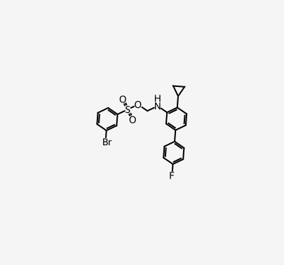 O=S(=O)(OCNc1cc(-c2ccc(F)cc2)ccc1C1CC1)c1cccc(Br)c1